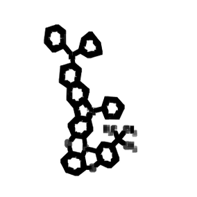 CC(C)(C)c1ccc2c(c1)B1c3cc4c(cc3Oc3cccc(c31)O2)c1cc2ccc(N(c3ccccc3)c3ccccc3)cc2cc1n4-c1ccccc1